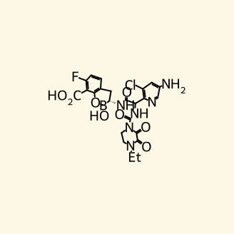 CCN1CCN(C(=O)NC(C(=O)N[C@H]2Cc3ccc(F)c(C(=O)O)c3OB2O)c2ncc(N)cc2Cl)C(=O)C1=O